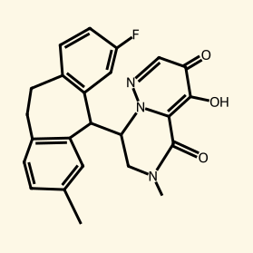 Cc1ccc2c(c1)C(C1CN(C)C(=O)c3c(O)c(=O)cnn31)c1cc(F)ccc1CC2